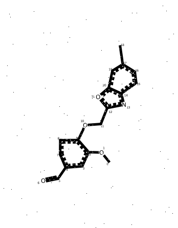 COc1cc(C=O)ccc1OCc1nc2ccc(C)cc2o1